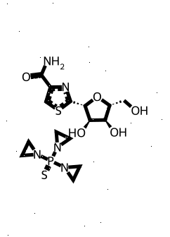 NC(=O)c1csc([C@@H]2O[C@H](CO)[C@@H](O)[C@H]2O)n1.S=P(N1CC1)(N1CC1)N1CC1